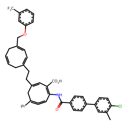 Cc1cc(-c2ccc(C(=O)N/C3=C(C(=O)O)/C=C(/CC/C4=C/C=C(/COc5cccc(C(F)(F)F)c5)CC=CC4)CC(C(C)C)=C=C3)cc2)ccc1Cl